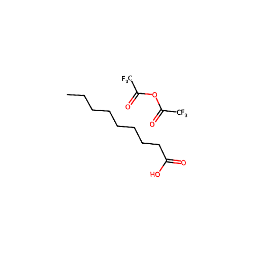 CCCCCCCCC(=O)O.O=C(OC(=O)C(F)(F)F)C(F)(F)F